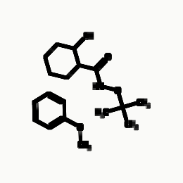 CC(C)(C)ONC(=O)C1CCCCC1S.COc1ccccc1